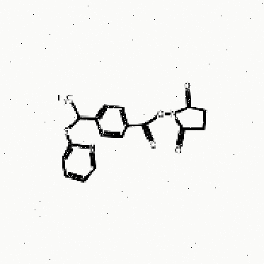 CC(Sc1ccccn1)c1ccc(C(=O)ON2C(=O)CCC2=O)cc1